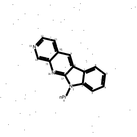 CCCn1c2ccccc2c2cc3ccncc3nc21